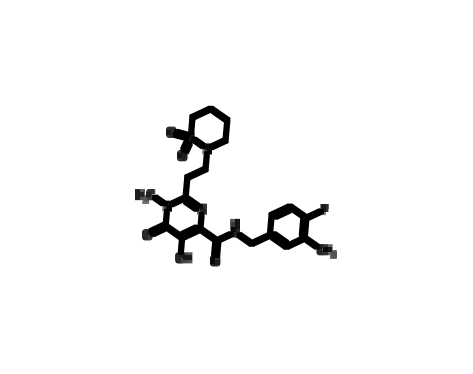 Cc1cc(CNC(=O)c2nc(CCN3CCCCS3(=O)=O)n(C)c(=O)c2O)ccc1F